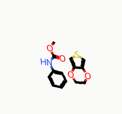 COC(=O)Nc1ccccc1.c1scc2c1OCCO2